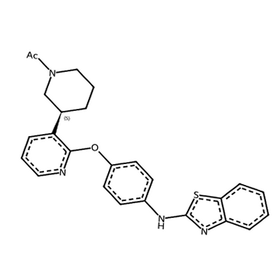 CC(=O)N1CCC[C@@H](c2cccnc2Oc2ccc(Nc3nc4ccccc4s3)cc2)C1